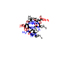 CC(=O)N[C@H](C)C(=O)N[C@H](CCC(=O)O)C(=O)NC(C(=O)N[C@H](CC(=O)O)C(=O)N[C@H](Cc1cn(C)nn1)C(N)=O)C(C)C